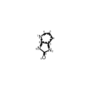 O=C1N=c2c[c]cnc2=N1